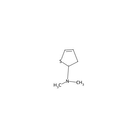 CN(C)[C]1CC=CS1